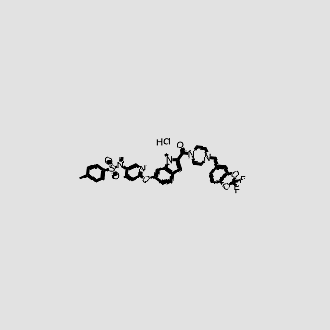 Cc1ccc(S(=O)(=O)N(C)c2ccc(Oc3ccc4cc(C(=O)N5CCN(Cc6ccc7c(c6)OC(F)(F)O7)CC5)n(C)c4c3)nc2)cc1.Cl